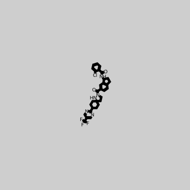 O=C(NC1CCc2ccc(C(=O)N3CCC4(CCC(c5ncc(C(F)(F)F)cn5)CC4)N3)cc21)c1ccccc1Cl